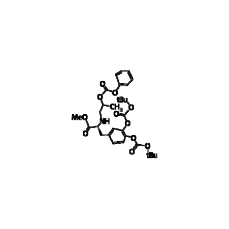 COC(=O)[C@H](Cc1ccc(OC(=O)OC(C)(C)C)c(OC(=O)OC(C)(C)C)c1)NCC(C)OC(=O)Oc1ccccc1